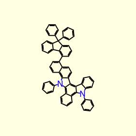 c1ccc(-n2c3ccccc3c3c4c5ccc6c(-c7cccc8c7-c7ccccc7C8(c7ccccc7)c7ccccc7)cccc6c5n(-c5ccccc5)c4c4ccccc4c32)cc1